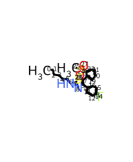 CCCCCCNc1nc(-c2ccc(F)cc2)c(-c2ccccc2S(C)(=O)=O)s1